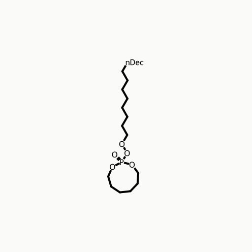 CCCCCCCCCCCCCCCCCCOOP1(=O)OCCCCCCO1